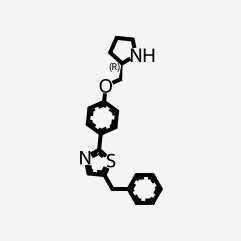 c1ccc(Cc2cnc(-c3ccc(OC[C@H]4CCCN4)cc3)s2)cc1